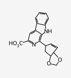 O=C(O)c1cc2c([nH]c3ccccc32)c(C2C=CC3OCOC3C2)n1